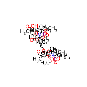 CCOP(=O)(OCC)C(N(OC(CC(C)(C)C=O)C(=O)OCCCCOC(=O)C(CC(C)(C)C(=O)O)ON(C(C(C)(C)C)P(=O)(OCC)OCC)C(C)(C)C)C(C)(C)C)C(C)(C)C